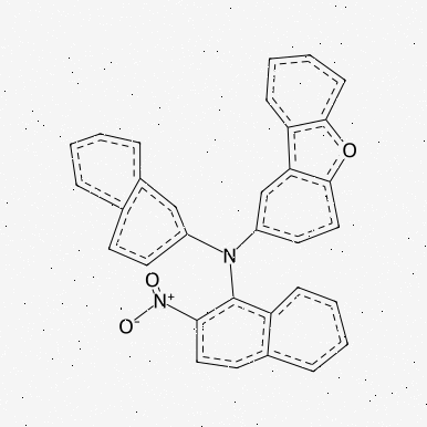 O=[N+]([O-])c1ccc2ccccc2c1N(c1ccc2ccccc2c1)c1ccc2oc3ccccc3c2c1